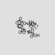 C[Si](C)(C)CCOCN1C(=O)COc2ccc(N3CC([C@H]4C[C@H](NC(=O)O)C4)OC3=O)nc21